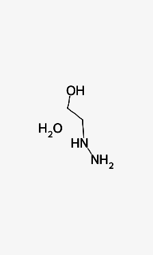 NNCCO.O